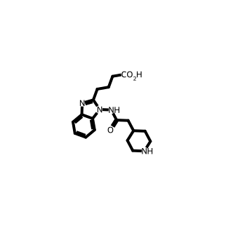 O=C(O)CCCc1nc2ccccc2n1NC(=O)CC1CCNCC1